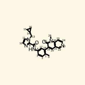 Cc1ccc(NC(=O)c2nccn2CC2CC2)cc1-c1cc2cnccc2n(C)c1=O